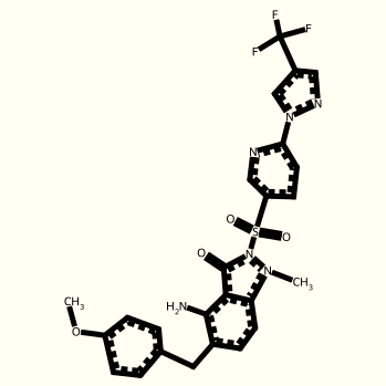 COc1ccc(Cc2ccc3c(c2N)c(=O)n(S(=O)(=O)c2ccc(-n4cc(C(F)(F)F)cn4)nc2)n3C)cc1